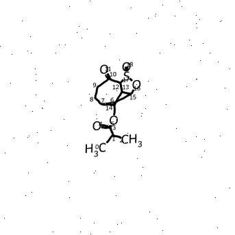 CC(C)C(=O)OC1C2CCC(=O)C3C(C2)C1OS3=O